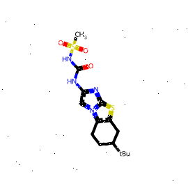 CC(C)(C)C1CCc2c(sc3nc(NC(=O)NS(C)(=O)=O)cn23)C1